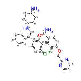 NC(=O)c1ccc(OCc2ncccn2)c(F)c1-c1cc(C(CNC2CCC(N)CC2)c2ccccc2)ccc1Cl